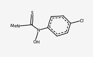 CNC(=S)N(O)c1ccc(Cl)cc1